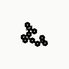 c1ccc(-c2nc3ccccc3nc2-c2ccc(N(c3ccc(-c4cccc(-n5c6ccccc6c6ccccc65)c4)cc3)c3cccc4cccnc34)cc2)cc1